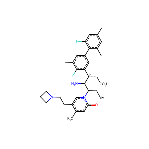 Cc1cc(C)c(-c2cc(C)c(F)c([C@H](CC(=O)O)C(N)C(CC(C)C)n3cc(CCN4CCC4)c(C(F)(F)F)cc3=O)c2)c(F)c1